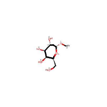 CC(C)O[C@@H]1O[C@@H](CO)[C@@H](O)[C@@H](O)[C@@H]1O